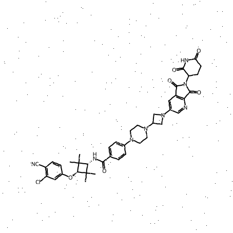 CC1(C)[C@H](NC(=O)c2ccc(N3CCN(C4CN(c5cnc6c(c5)C(=O)N(C5CCC(=O)NC5=O)C6=O)C4)CC3)cc2)C(C)(C)[C@H]1Oc1ccc(C#N)c(Cl)c1